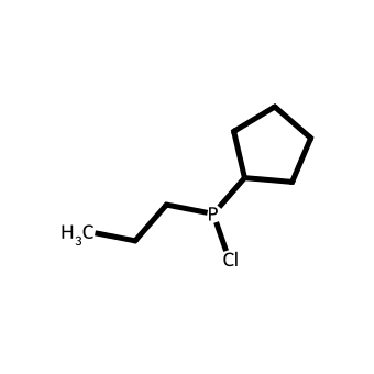 CCCP(Cl)C1CCCC1